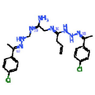 C=CC/C(=N\C/C(N)=N\CN/N=C(\C)c1ccc(Cl)cc1)NN/N=C(/C)c1ccc(Cl)cc1